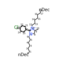 CCCCCCCCCCCCCCCCN1CC(C)[N+](CCCCCCCCCCCCCCCC)=C1c1ccccc1.[Cl-]